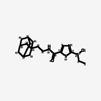 CC[S+]([O-])c1ncc(C(=O)NCCC23CC4CC(CC(C4)C2)C3)s1